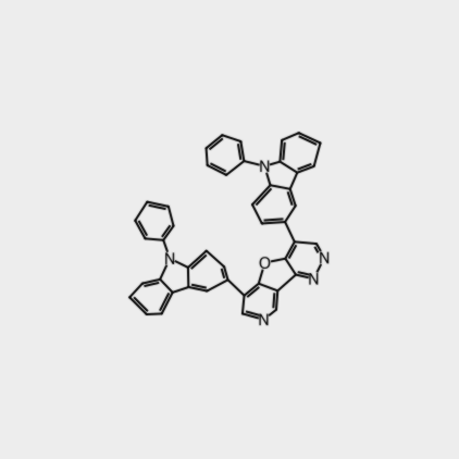 c1ccc(-n2c3ccccc3c3cc(-c4cncc5c4oc4c(-c6ccc7c(c6)c6ccccc6n7-c6ccccc6)cnnc45)ccc32)cc1